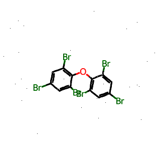 Brc1cc(Br)c(Oc2c(Br)cc(Br)cc2Br)c(Br)c1